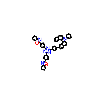 c1ccc(-n2c3ccc4ccccc4c3c3c4cc(-c5ccc(-c6nc(-c7ccc(-c8nc9ccccc9o8)cc7)nc(-c7ccc(-c8nc9ccccc9o8)cc7)n6)cc5)ccc4ccc32)cc1